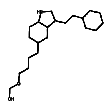 OCOCCCCC1CCC2NCC(CCC3CCCCC3)C2C1